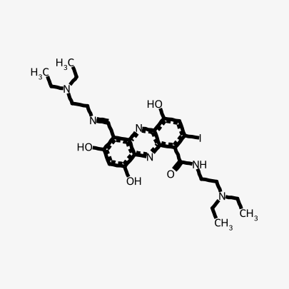 CCN(CC)CCN=Cc1c(O)cc(O)c2nc3c(C(=O)NCCN(CC)CC)c(I)cc(O)c3nc12